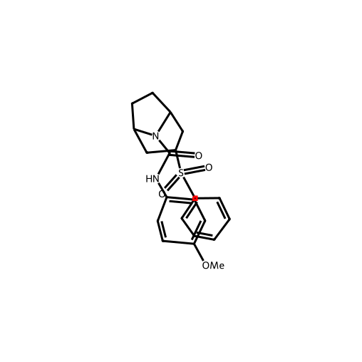 COc1ccc(NC(=O)N2C3CCC2CC(S(=O)(=O)c2ccccc2)C3)cc1